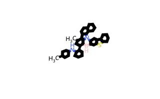 Cc1ccc(Nc2ccccc2-c2cc(C)c3c4ccc5ccccc5c4n4c3c2Bc2cc3sc5ccccc5c3cc2-4)cc1